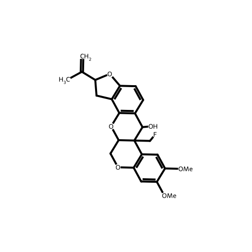 C=C(C)C1Cc2c(ccc3c2OC2COc4cc(OC)c(OC)cc4C2(CF)C3O)O1